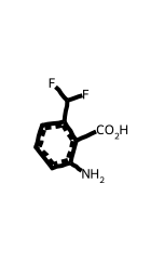 Nc1cccc(C(F)F)c1C(=O)O